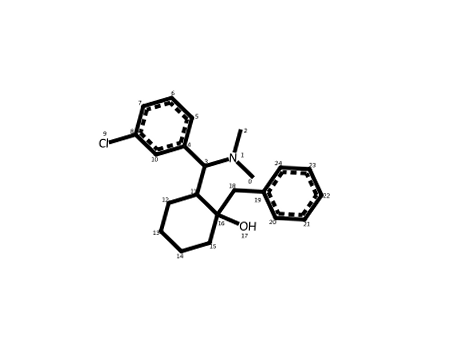 CN(C)C(c1cccc(Cl)c1)C1CCCCC1(O)Cc1ccccc1